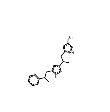 CC(Cc1cc(C(C)(C)C)c[nH]1)c1c[nH][n+](CC(C)c2ccccc2)c1